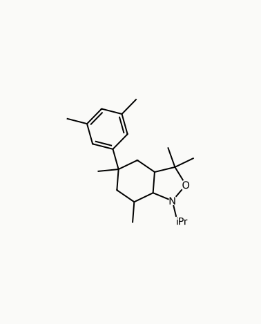 Cc1cc(C)cc(C2(C)CC(C)C3C(C2)C(C)(C)ON3C(C)C)c1